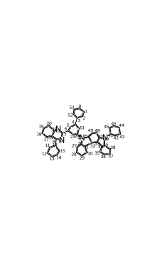 c1ccc(-c2cc(-c3nc(-c4ccccc4)c4ccccc4n3)cc(-n3c4ccccc4c4c5c6ccccc6n(-c6ccccc6)c5ccc43)c2)cc1